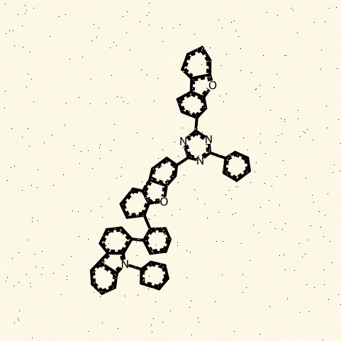 c1ccc(-c2nc(-c3ccc4c(c3)oc3ccccc34)nc(-c3ccc4c(c3)oc3c(-c5ccccc5-c5cccc6c7ccccc7n(-c7ccccc7)c56)cccc34)n2)cc1